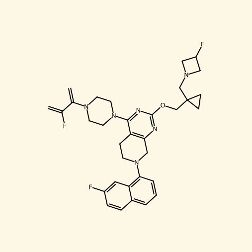 C=C(F)C(=C)N1CCN(c2nc(OCC3(CN4CC(F)C4)CC3)nc3c2CCN(c2cccc4ccc(F)cc24)C3)CC1